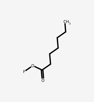 CCCCCCC(=O)OF